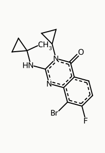 CC1(Nc2nc3c(Br)c(F)ccc3c(=O)n2C2CC2)CC1